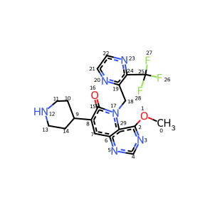 COc1ncnc2cc(C3CCNCC3)c(=O)n(Cc3nccnc3C(F)(F)F)c12